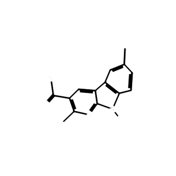 CCn1c2ccc(C)cc2c2cc(C(N)=O)c([AsH2])nc21